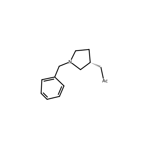 CC(=O)C[C@H]1CCN(Cc2ccccc2)C1